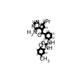 Cc1ccc(Cl)c(NC(=O)Nc2cccc(C(=O)c3cc(C(C)C)n4ncnc(N)c34)c2)c1